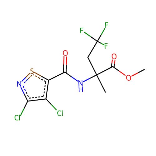 COC(=O)C(C)(CC(F)(F)F)NC(=O)c1snc(Cl)c1Cl